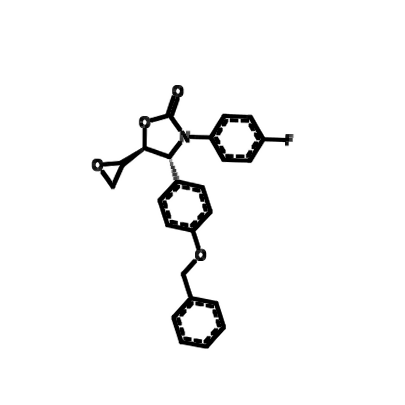 O=C1O[C@H](C2CO2)[C@@H](c2ccc(OCc3ccccc3)cc2)N1c1ccc(F)cc1